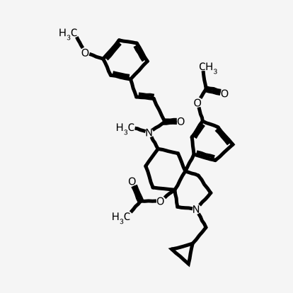 COc1cccc(/C=C/C(=O)N(C)C2CCC3(OC(C)=O)CN(CC4CC4)CCC3(c3cccc(OC(C)=O)c3)C2)c1